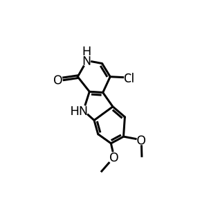 COc1cc2[nH]c3c(=O)[nH]cc(Cl)c3c2cc1OC